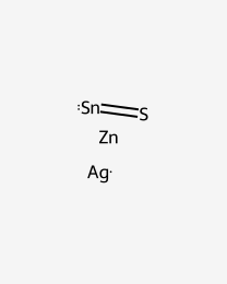 [Ag].[S]=[Sn].[Zn]